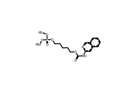 CC(C)(C)OP(=O)(OCCCCCOC(=O)Nc1cc2ccccc2cn1)OC(C)(C)C